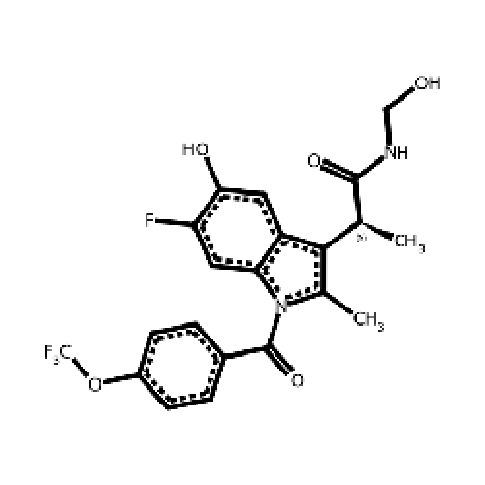 Cc1c([C@H](C)C(=O)NCO)c2cc(O)c(F)cc2n1C(=O)c1ccc(OC(F)(F)F)cc1